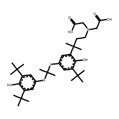 CC(C)(Sc1cc(C(C)(C)C)c(O)c(C(C)(C)C)c1)Sc1cc(C(C)(C)C)c(O)c(C(C)(C)CCN(CC(=O)O)CC(=O)O)c1